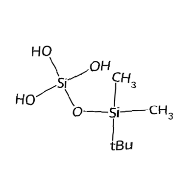 CC(C)(C)[Si](C)(C)O[Si](O)(O)O